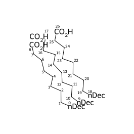 CCCCCCCCCCCCCCCCCC(=O)O.CCCCCCCCCCCCCCCCCC(=O)O.CCCCCCCCCCCCCCCCCC(=O)O